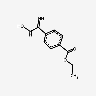 CCOC(=O)c1ccc(C(=N)NO)cc1